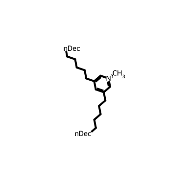 CCCCCCCCCCCCCCCc1cc(CCCCCCCCCCCCCCC)c[n+](C)c1